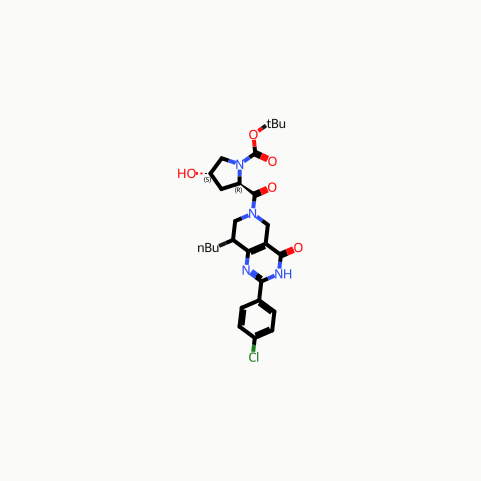 CCCCC1CN(C(=O)[C@H]2C[C@H](O)CN2C(=O)OC(C)(C)C)Cc2c1nc(-c1ccc(Cl)cc1)[nH]c2=O